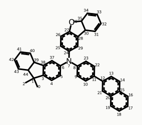 CC1(C)c2ccc(N(c3ccc(-c4ccc5ccccc5c4)cc3)c3ccc4c(c3)C3C=CC=CC3O4)cc2C2C=CC=CC21